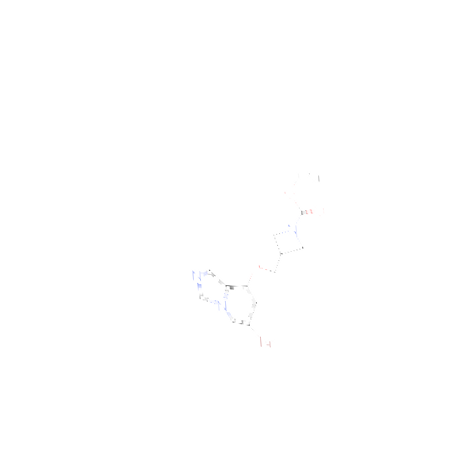 CC(C)(C)OC(=O)N1CC(COc2cc(Br)cn3cncc23)C1